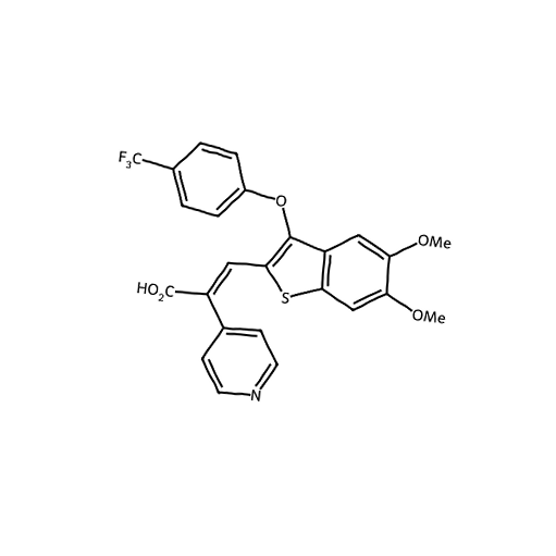 COc1cc2sc(/C=C(/C(=O)O)c3ccncc3)c(Oc3ccc(C(F)(F)F)cc3)c2cc1OC